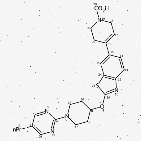 CCCc1cnc(N2CCC(Oc3nc4ccc(C5=CCN(C(=O)O)CC5)cc4s3)CC2)nc1